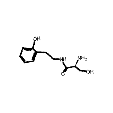 N[C@@H](CO)C(=O)NCCc1ccccc1O